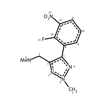 CNCc1nn(C)nc1-c1cccc([N+](=O)[O-])c1F